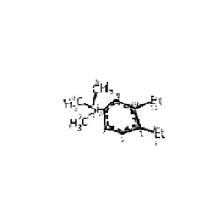 CCc1ccc([Si](C)(C)C)cc1CC